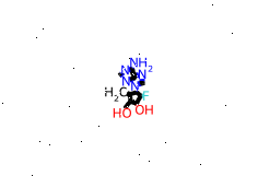 C=C1C(CO)C(O)C(F)C1n1cnc2c(N)ncnc21